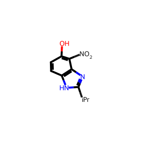 CC(C)c1nc2c([N+](=O)[O-])c(O)ccc2[nH]1